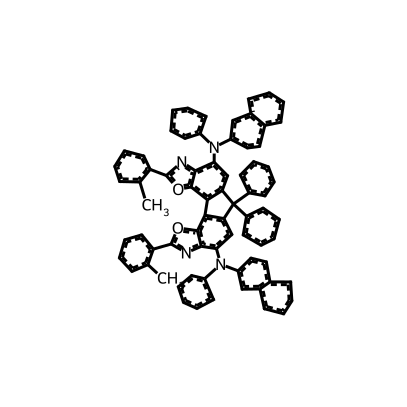 Cc1ccccc1-c1nc2c(N(c3ccccc3)c3ccc4ccccc4c3)cc3c(c2o1)-c1c(cc(N(c2ccccc2)c2ccc4ccccc4c2)c2nc(-c4ccccc4C)oc12)C3(c1ccccc1)c1ccccc1